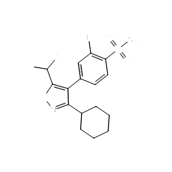 NS(=O)(=O)c1ccc(-c2c(C3CCCCC3)noc2C(F)F)cc1F